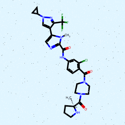 Cn1c(-c2cn(C3CC3)nc2C(F)(F)F)cnc1C(=O)Nc1ccc(C(=O)N2CCN(C(=O)[C@]3(C)CCCN3)CC2)c(Cl)c1